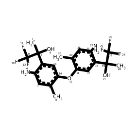 Cc1cc(N)c(C(C)(O)C(F)(F)F)cc1Oc1cc(C(C)(O)C(F)(F)F)c(N)cc1C